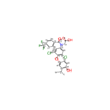 CC(C)c1cc(Oc2c(Cl)cc(N(CC(=O)O)C(=O)c3ccc(C(F)(F)F)cc3)cc2Cl)ccc1O